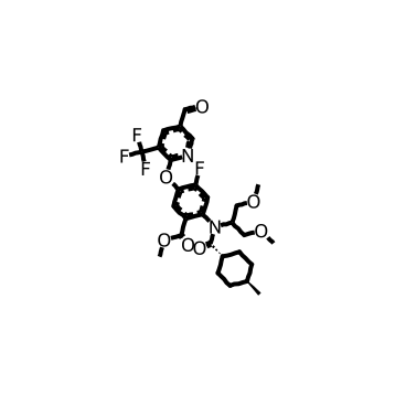 COCC(COC)N(c1cc(F)c(Oc2ncc(C=O)cc2C(F)(F)F)cc1C(=O)OC)C(=O)[C@H]1CC[C@H](C)CC1